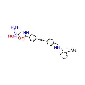 COc1ccccc1CNCc1ccc(C#Cc2ccc(C(=O)N[C@@H](CN)C(=O)NO)cc2)cc1